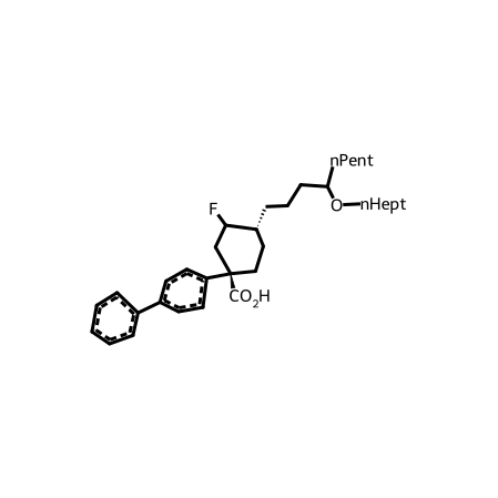 CCCCCCCOC(CCCCC)CCC[C@@H]1CC[C@](C(=O)O)(c2ccc(-c3ccccc3)cc2)CC1F